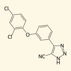 N#Cc1[nH]nnc1-c1cccc(Oc2ccc(Cl)cc2Cl)c1